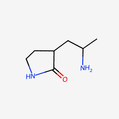 CC(N)CC1CCNC1=O